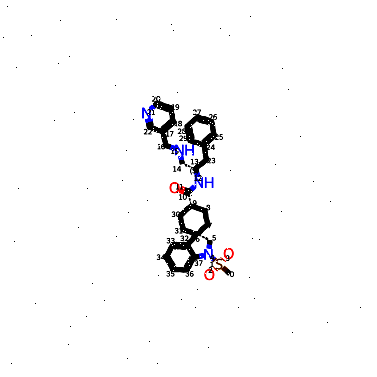 CS(=O)(=O)N1C[C@]2(CC[C@@H](C(=O)N[C@H](CNCc3cccnc3)Cc3ccccc3)CC2)c2ccccc21